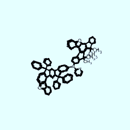 CC1(C)c2ccccc2-c2c1c1c(c3c2oc2ccccc23)-c2ccc(N(c3ccc4c(c3)C(c3ccccc3)(c3ccccc3)c3cc5c(cc3-4)C(c3ccccc3)(c3ccccc3)c3ccc4oc6ccccc6c4c3-5)c3ccccn3)cc2C1(C)C